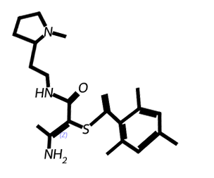 C=C(S/C(C(=O)NCCC1CCCN1C)=C(/C)N)c1c(C)cc(C)cc1C